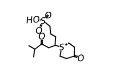 CC(C)C(=O)CC(CCCS(=O)(=O)O)[S+]1CCC(=O)CC1